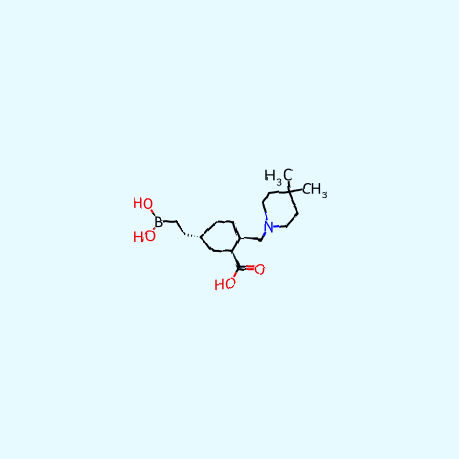 CC1(C)CCN(C[C@@H]2CC[C@@H](CCB(O)O)C[C@@H]2C(=O)O)CC1